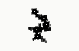 COc1cc(F)cc(C2=CC(C)Cc3[nH]c(-c4n[nH]c5ccc(-c6cncc(CNCC7CCCC7)c6)cc45)cc32)c1